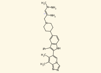 Cc1c(-c2[nH]c3ccc(C4CCN(C/C(N)=C/N(C)N)CC4)cc3c2C(C)C)cn2cnnc2c1C